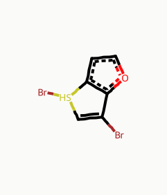 BrC1=C[SH](Br)c2ccoc21